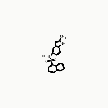 Cc1cc2cc(NS(=O)(=O)c3cccc4ccccc34)ccc2[nH]1.I